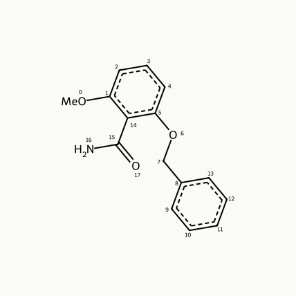 COc1cccc(OCc2ccccc2)c1C(N)=O